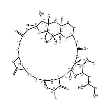 C=C1CC2CCC(=O)C[C@H]3O[C@H]4[C@@H](O)[C@H]5OC(CC[C@@H]5O[C@H]4[C@H]3O)CC(=O)C[C@H]3[C@H](CC4O[C@@H](CCC1O2)C[C@@H](C)C4=C)OC(C[C@H](O)CO)[C@@H]3OC